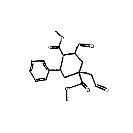 COC(=O)C1C(C=O)CC(CC=O)(C(=O)OC)CC1c1ccccc1